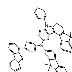 CC1(C)C2=C(c3ccccc31)c1c(n(C3=CCCC=C3)c3ccc(N(c4ccc(-c5cccc6c5SC5C=CC=CC65)cc4)c4ccc5c(c4)C(C)(C)c4ccccc4-5)cc13)CC2